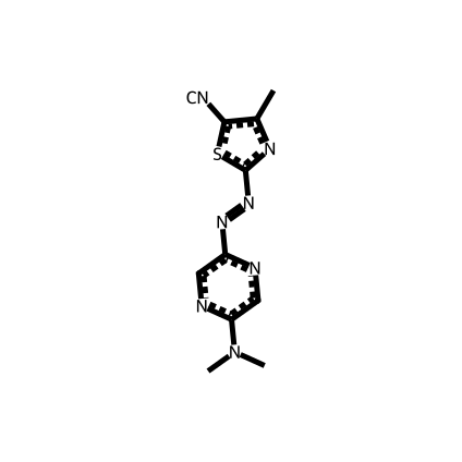 [C-]#[N+]c1sc(N=Nc2cnc(N(C)C)cn2)nc1C